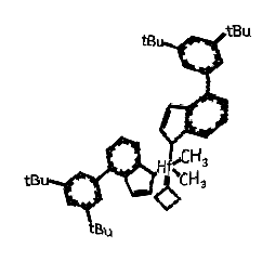 CC(C)(C)c1cc(-c2cccc3c2C=C[CH]3[Hf]([CH3])([CH3])(=[C]2CCC2)[CH]2C=Cc3c(-c4cc(C(C)(C)C)cc(C(C)(C)C)c4)cccc32)cc(C(C)(C)C)c1